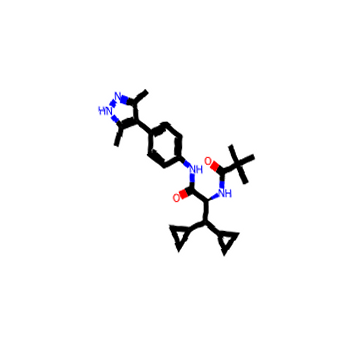 Cc1n[nH]c(C)c1-c1ccc(NC(=O)[C@@H](NC(=O)C(C)(C)C)C(C2CC2)C2CC2)cc1